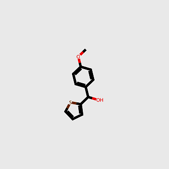 COc1ccc(C(O)c2cccs2)cc1